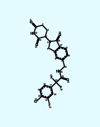 O=C1CCC(N2Cc3cc(CNC(=O)C(F)(F)c4ccc(Cl)c(F)c4)ccc3C2=O)C(=O)N1